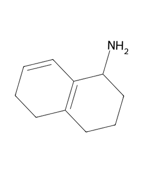 NC1CCCC2=C1C=CCC2